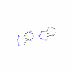 c1ccc2nc[n+](-c3cc4cncnc4cn3)cc2c1